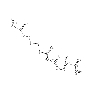 C=CC(=O)OCCCCC(=O)Oc1ccc(C(=O)OC)cc1